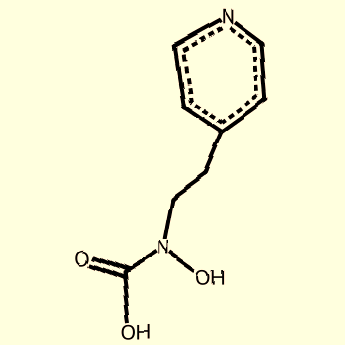 O=C(O)N(O)CCc1ccncc1